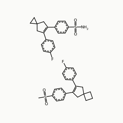 CS(=O)(=O)c1ccc(C2=C(c3ccc(F)cc3)CC3(CCC3)C2)cc1.NS(=O)(=O)c1ccc(C2=C(c3ccc(F)cc3)CC3(CC3)C2)cc1